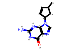 CC1C=CC(n2cnc3c(=O)[nH]c(N)nc32)C1